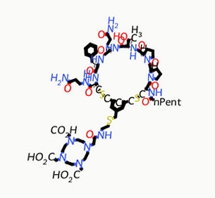 CCCCCC(=O)N[C@H]1CSCc2cc(CSCCNC(=O)CN3CCN(CC(=O)O)CCN(CC(=O)O)CCN(CC(=O)O)CC3)cc(c2)CSC[C@@H](C(=O)NCCC(N)=O)NC(=O)[C@H](Cc2ccccc2)NC(=O)[C@H](CCC(N)=O)NC(=O)[C@H]([C@@H](C)O)NC(=O)[C@@H]2CCCN2C(=O)[C@@H]2CCCN2C1=O